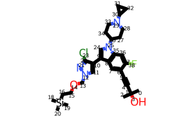 CC(C)(O)C#Cc1cc2c(-c3cn(COCC[Si](C)(C)C)nc3Cl)cn(C3CCN(C4CC4)CC3)c2cc1F